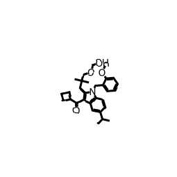 COc1ccccc1Cn1c(CC(C)(C)COCO)c(C(=O)C2CCC2)c2cc(C(C)C)ccc21